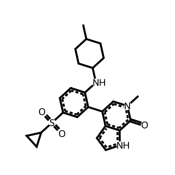 CC1CCC(Nc2ccc(S(=O)(=O)C3CC3)cc2-c2cn(C)c(=O)c3[nH]ccc23)CC1